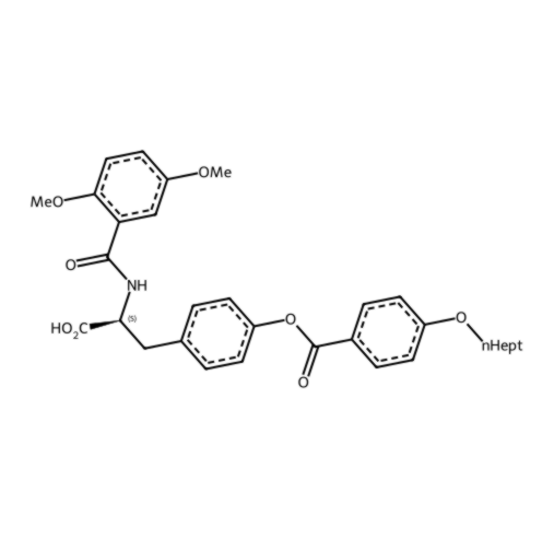 CCCCCCCOc1ccc(C(=O)Oc2ccc(C[C@H](NC(=O)c3cc(OC)ccc3OC)C(=O)O)cc2)cc1